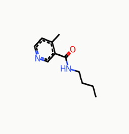 CCCCNC(=O)c1cnccc1C